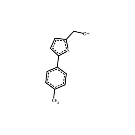 OCc1ccc(-c2ccc(C(F)(F)F)cc2)s1